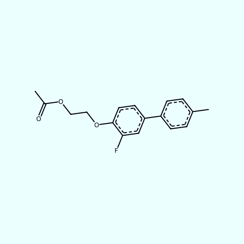 CC(=O)OCCOc1ccc(-c2ccc(C)cc2)cc1F